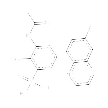 CC(=O)Nc1cccc([As](=O)(O)O)c1O.Cc1ccc2nccnc2c1